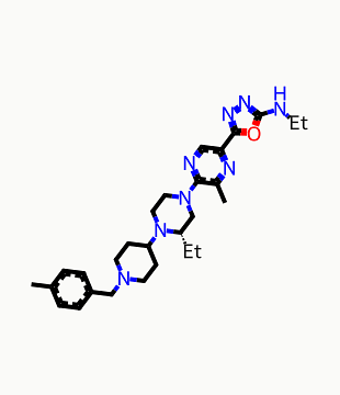 CCNc1nnc(-c2cnc(N3CCN(C4CCN(Cc5ccc(C)cc5)CC4)[C@@H](CC)C3)c(C)n2)o1